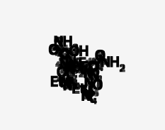 CCn1nc(C)cc1C(=O)/N=c1\n(C)c2cc(C(N)=O)ccc2n1CC(F)(F)C(F)(F)Cn1/c(=N/C(=O)c2cc(C)nn2CC)n(C)c2cc(C(N)=O)cc(O)c21